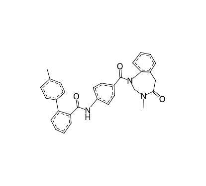 Cc1ccc(-c2ccccc2C(=O)Nc2ccc(C(=O)N3CN(C)C(=O)Cc4ccccc43)cc2)cc1